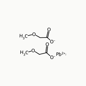 COCC(=O)[O-].COCC(=O)[O-].[Pb+2]